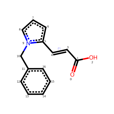 O=C(O)/C=C/c1cccn1Cc1ccccc1